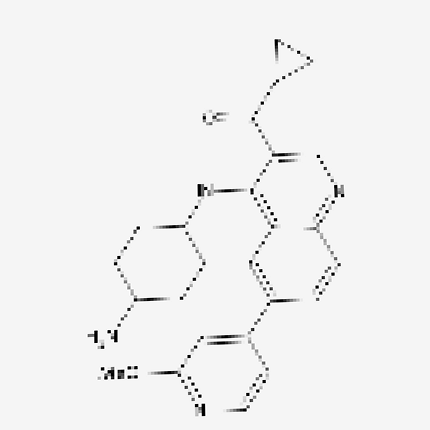 COc1cc(-c2ccc3ncc(C(=O)C4CC4)c(NC4CCC(N)CC4)c3c2)ccn1